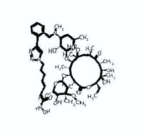 CC[C@H]1OC(=O)[C@H](C)[C@@H](O[C@H]2C[C@@](C)(OC)[C@@H](O)[C@H](C)O2)[C@H](C)[C@@H](O[C@@H]2O[C@H](C)C[C@H](N(C)Cc3ccccc3-c3cn(CCCCCCC(=O)NO)nn3)[C@H]2O)[C@](C)(OC)C[C@@H](C)C(=O)[C@H](C)[C@@H](O)[C@]1(C)O